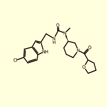 CN(C(=O)NCc1cc2cc(Cl)ccc2[nH]1)[C@@H]1CCCN(C(=O)C2CCCO2)C1